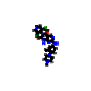 Cc1cc(Nc2ncc3c(=O)n(-c4c(Cl)cncc4Cl)c(=O)[nH]c3n2)ccc1N1CCN(C)CC1